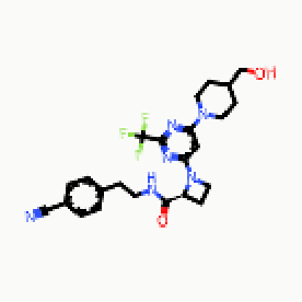 N#Cc1ccc(CCNC(=O)[C@@H]2CCN2c2cc(N3CCC(CO)CC3)nc(C(F)(F)F)n2)cc1